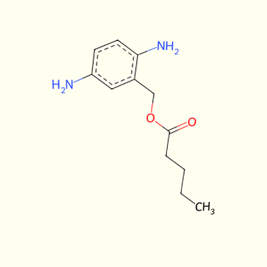 CCCCC(=O)OCc1cc(N)ccc1N